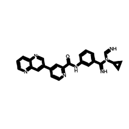 N=CN(C(=N)c1cccc(NC(=O)c2cc(-c3cnc4cccnc4c3)ccn2)c1)C1CC1